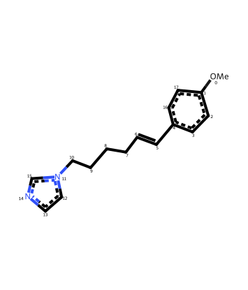 COc1ccc(C=CCCCCn2ccnc2)cc1